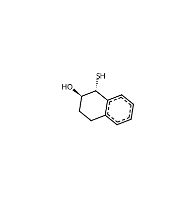 O[C@@H]1CCc2ccccc2[C@H]1S